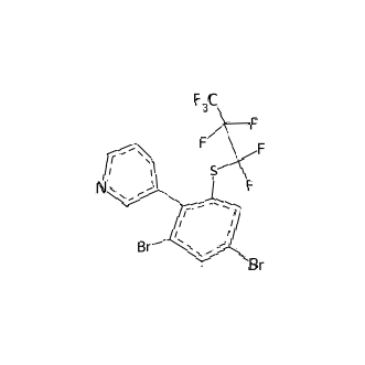 FC(F)(F)C(F)(F)C(F)(F)Sc1cc(Br)[c]c(Br)c1-c1cccnc1